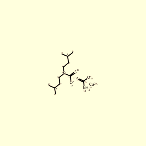 CC(C)CCN(CCC(C)C)C([O-])=S.NC([O-])=S.[Cu+2]